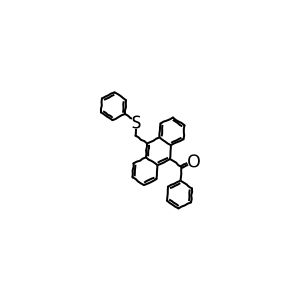 O=C(c1ccccc1)c1c2ccccc2c(CSc2ccccc2)c2ccccc12